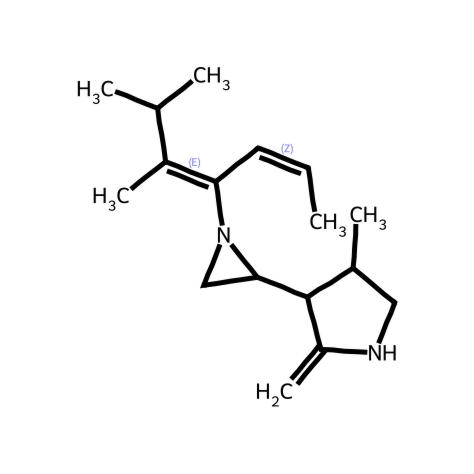 C=C1NCC(C)C1C1CN1C(/C=C\C)=C(\C)C(C)C